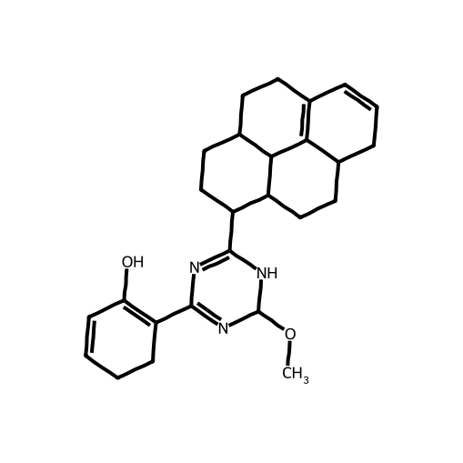 COC1N=C(C2=C(O)C=CCC2)N=C(C2CCC3CCC4=C5C(CC=C4)CCC2C53)N1